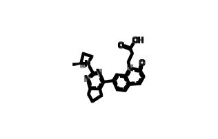 C[C@H]1CCN1c1nc2c(c(-c3ccc4ccc(=O)n(CCC(=O)O)c4c3)n1)CCC2